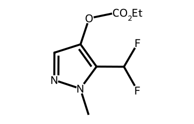 CCOC(=O)Oc1cnn(C)c1C(F)F